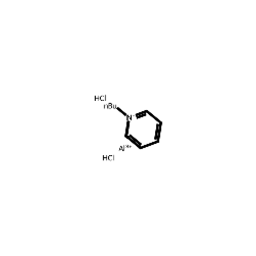 CCCC[n+]1ccccc1.Cl.Cl.[Al+3]